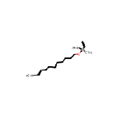 C=C[Si](OC)(OC)OCCCCCCCCC=CCCCCCCCC